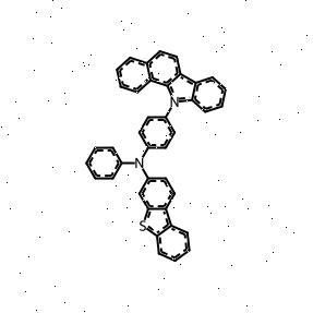 c1ccc(N(c2ccc(-n3c4ccccc4c4ccc5ccccc5c43)cc2)c2ccc3c(c2)sc2ccccc23)cc1